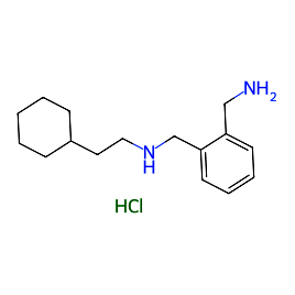 Cl.NCc1ccccc1CNCCC1CCCCC1